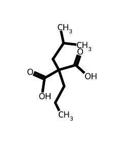 CCCC(CC(C)C)(C(=O)O)C(=O)O